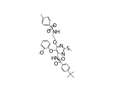 COc1ccccc1Oc1c(NS(=O)(=O)c2ccc(C(C)(C)C)cc2)nc(SC)nc1OCCNS(=O)(=O)c1ccc(C)cc1